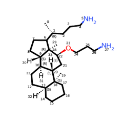 C[C@H](CCCN)C1CC[C@H]2[C@@H]3CC[C@@H]4CCCC[C@]4(C)[C@H]3C[C@H](OCCCN)[C@]12C